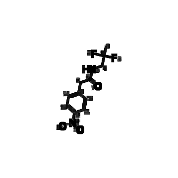 CC(F)(F)CNC(=O)Cc1ccc([N+](=O)[O-])cc1